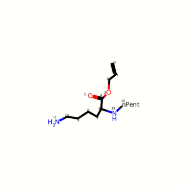 C=CCOC(=O)C(CCCCN)NCCCCC